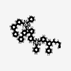 C#C/C=C\C=C(/C)C1=CC(c2ccccc2)CC(c2cccc(-c3nc(C4=CC(c5cccc6c5c5cc(-c7ccccc7)ccc5n6-c5nc(-c6ccccc6)nc(-c6cccc(-c7cccc(-c8ccccc8)c7)c6)n5)=CCC4)nc(-c4ccccc4)n3)c2)=C1